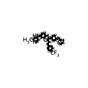 Cc1cc(Nc2ccc(CN(C(=O)/C=C/c3ccc(C(F)(F)F)cc3)C3CCN(Cc4nccs4)CC3)cc2)ccn1